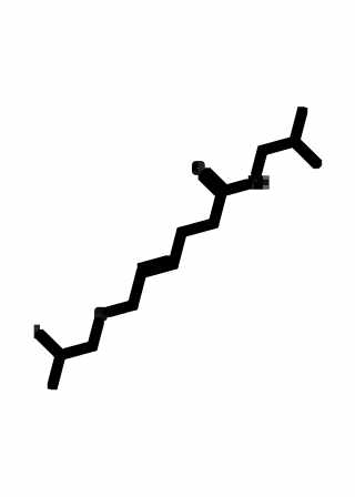 CC(C)CNC(=O)CC/C=C/COCC(C)I